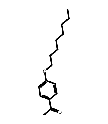 CCCCCCCCOc1ccc(C(C)=O)cc1